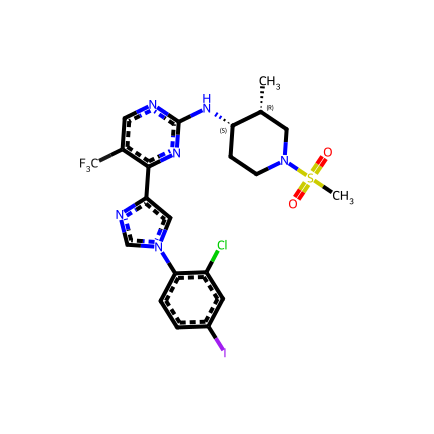 C[C@@H]1CN(S(C)(=O)=O)CC[C@@H]1Nc1ncc(C(F)(F)F)c(-c2cn(-c3ccc(I)cc3Cl)cn2)n1